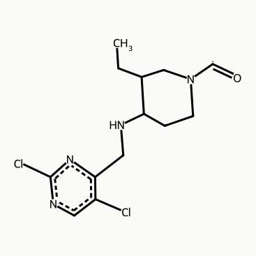 CCC1CN([C]=O)CCC1NCc1nc(Cl)ncc1Cl